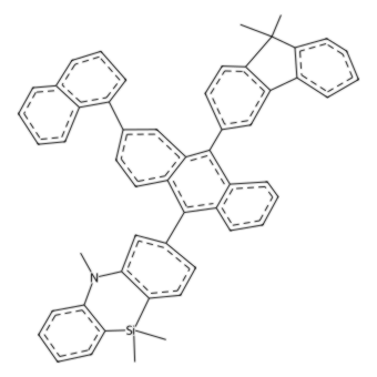 CN1c2ccccc2[Si](C)(C)c2ccc(-c3c4ccccc4c(-c4ccc5c(c4)-c4ccccc4C5(C)C)c4cc(-c5cccc6ccccc56)ccc34)cc21